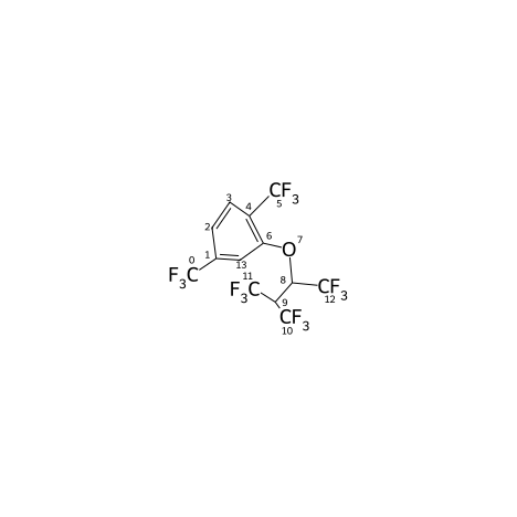 FC(F)(F)c1ccc(C(F)(F)F)c(OC(C(C(F)(F)F)C(F)(F)F)C(F)(F)F)c1